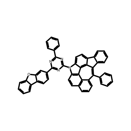 c1ccc(-c2nc(-c3ccc4c(c3)oc3ccccc34)nc(-n3c4ccc5c6c4c4c7c(cccc7c(-c7ccccc7)c-6c6ccccc65)ccc43)n2)cc1